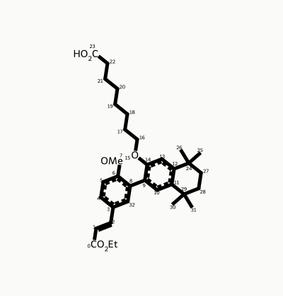 CCOC(=O)C=Cc1ccc(OC)c(-c2cc3c(cc2OCCCCCCCC(=O)O)C(C)(C)CCC3(C)C)c1